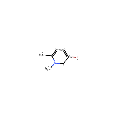 CC1=CC=C(Br)CN1C